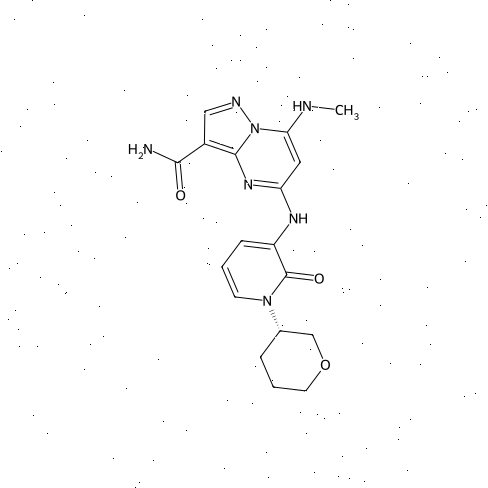 CNc1cc(Nc2cccn([C@H]3CCCOC3)c2=O)nc2c(C(N)=O)cnn12